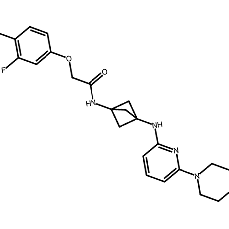 O=C(COc1ccc(Cl)c(F)c1)NC12CC(Nc3cccc(N4CCOCC4)n3)(C1)C2